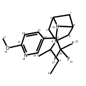 CCC(C)N1CC2CC(C1)N2C(c1ccc(OC)nc1)C(F)(F)F